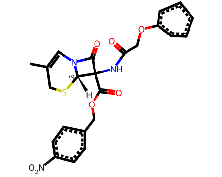 CC1=CN2C(=O)C(NC(=O)COc3ccccc3)(C(=O)OCc3ccc([N+](=O)[O-])cc3)[C@@H]2SC1